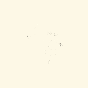 COc1cccc(-c2cc(-c3ccc(F)cc3)c(C#N)c(OC)n2)c1